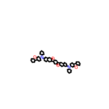 c1ccc(N(c2ccc3cc4c(cc3c2)oc2cc3c(cc24)oc2cc4cc(N(c5ccccc5)c5ccc6c(c5)oc5ccccc56)ccc4cc23)c2ccc3c(c2)oc2ccccc23)cc1